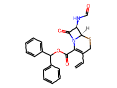 C=CC1=C(C(=O)OC(c2ccccc2)c2ccccc2)N2C(=O)[C@@H](NC=O)[C@H]2SC1